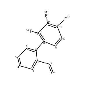 C=Cc1ccccc1-c1ccc(F)c(F)c1F